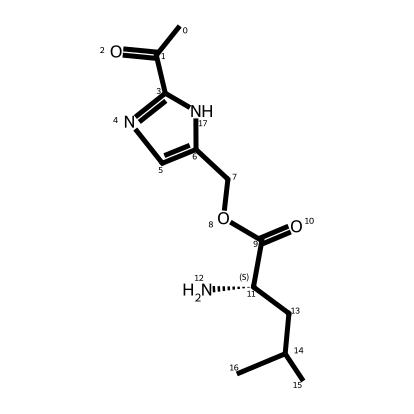 CC(=O)c1ncc(COC(=O)[C@@H](N)CC(C)C)[nH]1